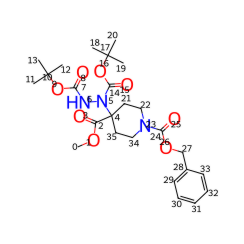 COC(=O)C1(N(NC(=O)OC(C)(C)C)C(=O)OC(C)(C)C)CCN(C(=O)OCc2ccccc2)CC1